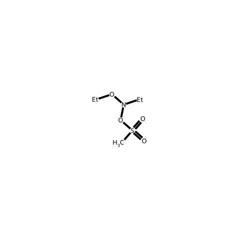 CCON(CC)OS(C)(=O)=O